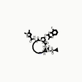 Cc1nc2cccc(F)c2nc1O[C@@H]1C[C@H]2C(=O)N[C@]3(C(=O)NS(=O)(=O)C4CC4)C[C@H]3/C=C\CCCCC[C@H](NC(=O)c3cc(C)n(C)n3)C(=O)N2C1